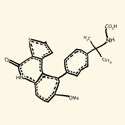 COc1ccc2[nH]c(=O)c3sccc3c2c1-c1ccc(C(C)(C)NC(=O)O)cc1